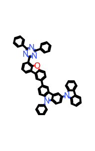 c1ccc(-c2nc(-c3ccccc3)nc(-c3cccc4c3oc3ccc(-c5ccc6c(c5)c5cc(-n7c8ccccc8c8ccccc87)ccc5n6-c5ccccc5)cc34)n2)cc1